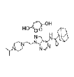 CC(C)N1CCN(CCn2ncc3c(NC(=O)C45CC6CC(CC(C6)C4)C5)ncnc32)CC1.O=C(O)/C=C\C(=O)O